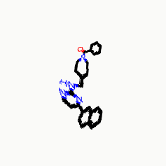 O=C(c1ccccc1)N1CCC(CNc2nccc(-c3ccc4ccccc4c3)n2)CC1